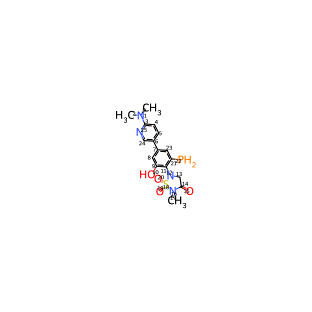 CN(C)c1ccc(-c2cc(O)c(N3CC(=O)N(C)S3(=O)=O)c(P)c2)cn1